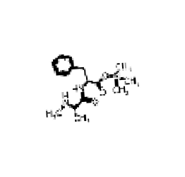 CN[C@@H](C)C(=O)N[C@@H](Cc1ccccc1)C(=O)O[Si](C)(C)C